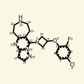 Fc1cc(Cl)ccc1OC1CN(c2c3c(nc4ccnn24)CCNCC3)C1